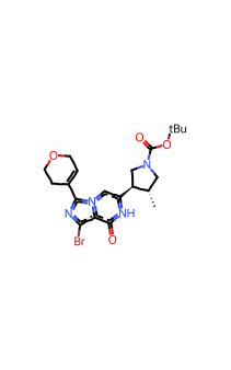 C[C@H]1CN(C(=O)OC(C)(C)C)C[C@@H]1c1cn2c(C3=CCOCC3)nc(Br)c2c(=O)[nH]1